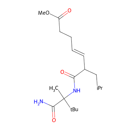 COC(=O)CCC=CC(CC(C)C)C(=O)NC(C)(C(N)=O)C(C)(C)C